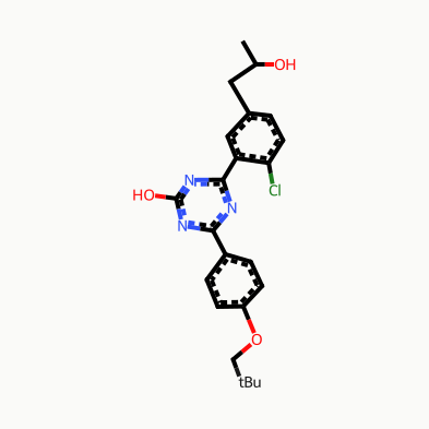 CC(O)Cc1ccc(Cl)c(-c2nc(O)nc(-c3ccc(OCC(C)(C)C)cc3)n2)c1